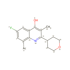 CC(=O)c1cc(F)cc2c(O)c(C)c(C3CCOCC3)nc12